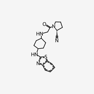 N#C[C@@H]1CCCN1C(=O)CNC1CCC(Nc2nc3ccccc3s2)CC1